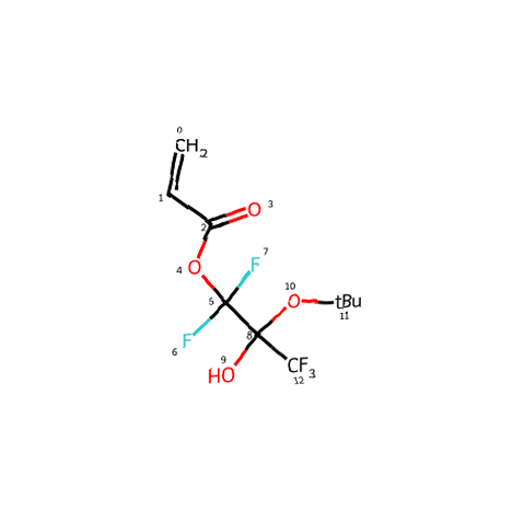 C=CC(=O)OC(F)(F)C(O)(OC(C)(C)C)C(F)(F)F